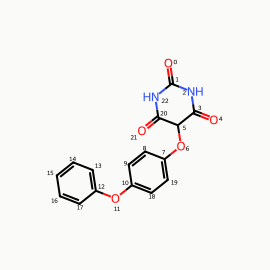 O=C1NC(=O)C(Oc2ccc(Oc3ccccc3)cc2)C(=O)N1